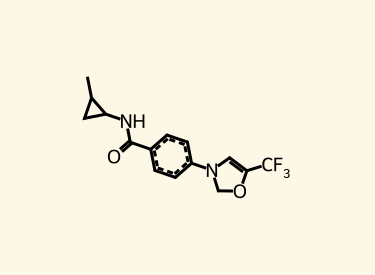 CC1CC1NC(=O)c1ccc(N2C=C(C(F)(F)F)OC2)cc1